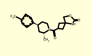 C[C@@H]1C[C@@H](c2ccc(C(F)(F)F)cc2)CCN1C(=O)C1CC2(COC(=O)N2)C1